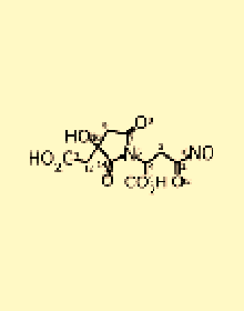 O=NC(=O)CC(C(=O)O)N1C(=O)CC(O)(CC(=O)O)C1=O